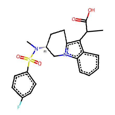 CC(C(=O)O)c1c2n(c3ccccc13)C[C@H](N(C)S(=O)(=O)c1ccc(F)cc1)CC2